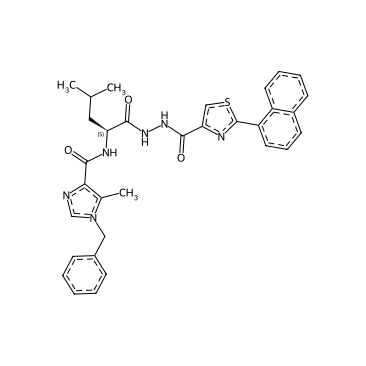 Cc1c(C(=O)N[C@@H](CC(C)C)C(=O)NNC(=O)c2csc(-c3cccc4ccccc34)n2)ncn1Cc1ccccc1